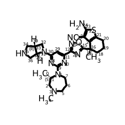 C[C@H]1CN(C)CCCN1c1nc(-c2noc([C@@]3(C)CCCc4sc(N)c(C#N)c43)n2)cc(N2C[C@H]3CNC[C@H]32)n1